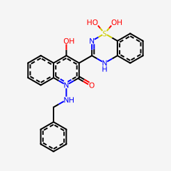 O=c1c(C2=NS(O)(O)c3ccccc3N2)c(O)c2ccccc2n1NCc1ccccc1